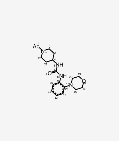 CC(=O)N1CCC(NC(=O)Nc2ccccc2N2CCOCC2)CC1